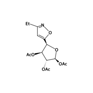 CCc1cc([C@H]2O[C@@H](OC(C)=O)[C@H](OC(C)=O)[C@H]2OC(C)=O)on1